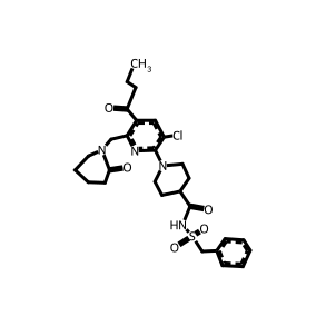 CCCC(=O)c1cc(Cl)c(N2CCC(C(=O)NS(=O)(=O)Cc3ccccc3)CC2)nc1CN1CCCCC1=O